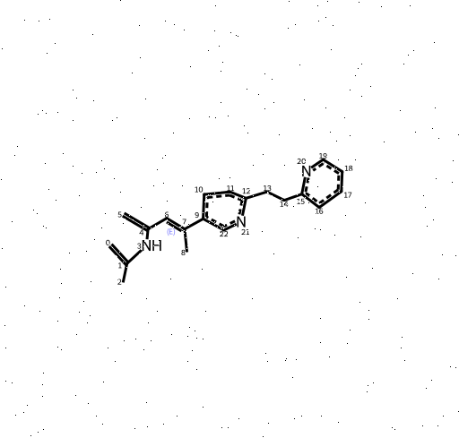 C=C(C)NC(=C)/C=C(\C)c1ccc(CCc2ccccn2)nc1